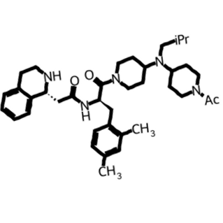 CC(=O)N1CCC(N(CC(C)C)C2CCN(C(=O)[C@@H](Cc3ccc(C)cc3C)NC(=O)C[C@H]3NCCc4ccccc43)CC2)CC1